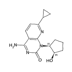 Nc1nc(=O)n([C@H]2CCC[C@H]2O)c2nc(C3CC3)ccc12